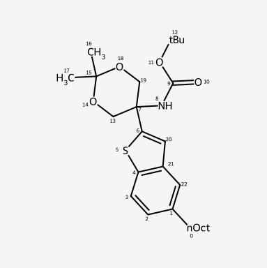 CCCCCCCCc1ccc2sc(C3(NC(=O)OC(C)(C)C)COC(C)(C)OC3)cc2c1